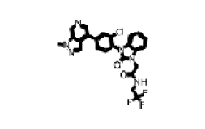 Cn1ncc2c(-c3ccc(-n4c(=O)n(CC(=O)NCC(F)(F)F)c5ccccc54)c(Cl)c3)cncc21